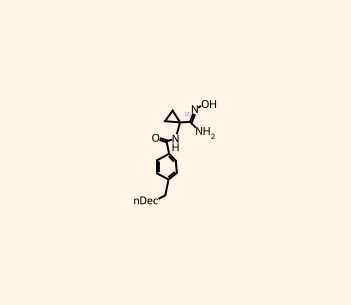 CCCCCCCCCCCc1ccc(C(=O)NC2(/C(N)=N/O)CC2)cc1